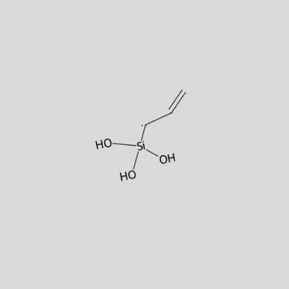 C=C[CH][Si](O)(O)O